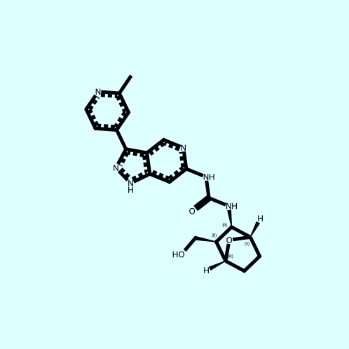 Cc1cc(-c2n[nH]c3cc(NC(=O)N[C@@H]4[C@H](CO)[C@H]5CC[C@@H]4O5)ncc23)ccn1